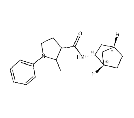 CC1C(C(=O)N[C@@H]2C[C@@H]3CC[C@H]2C3)CCN1c1ccccc1